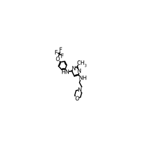 Cc1nc(NCCN2CCOCC2)cc(Nc2ccc(OC(F)(F)F)cc2)n1